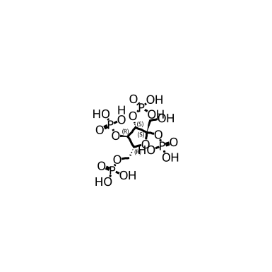 O=P(O)(O)OC[C@H]1O[C@@](CO)(OP(=O)(O)O)[C@@H](OP(=O)(O)O)[C@@H]1OP(=O)(O)O